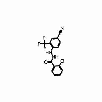 N#Cc1ccc(NNC(=O)c2ccccc2Cl)c(C(F)(F)F)c1